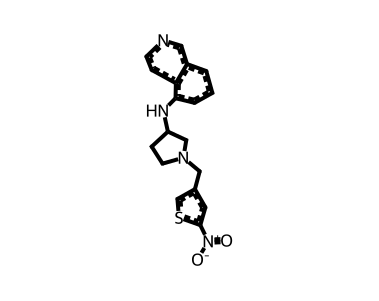 O=[N+]([O-])c1cc(CN2CCC(Nc3cccc4cnccc34)C2)cs1